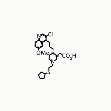 COc1ccc2ncc(Cl)c(CCC[C@@H]3CCN(CCSC4CCCC4)C[C@@H]3CC(=O)O)c2c1